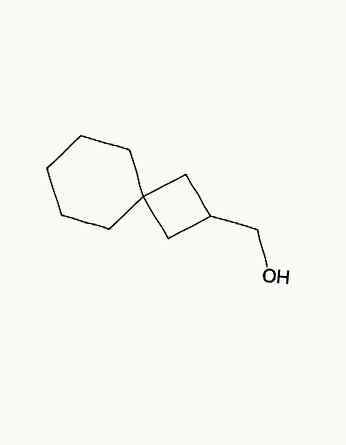 OCC1CC2(CCCCC2)C1